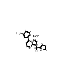 Cl.Nc1cccc(-c2ccnc3c(C(=O)c4cccs4)cnn23)c1